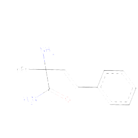 [CH2]CCC(N)(C=Cc1ccccc1)C(N)=O